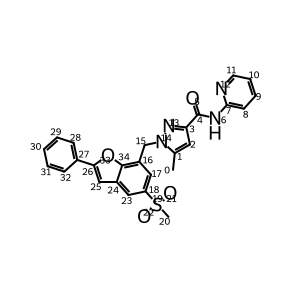 Cc1cc(C(=O)Nc2ccccn2)nn1Cc1cc(S(C)(=O)=O)cc2cc(-c3ccccc3)oc12